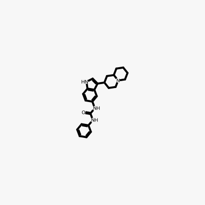 O=C(Nc1ccccc1)Nc1ccc2[nH]cc(C3CCN4CCCCC4C3)c2c1